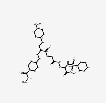 COC(=O)C(CNC(=O)CNC(=O)C(CCC1CCN(C(=O)O)CC1)CCC1CCN(C(=O)OC(C)(C)C)CC1)NS(=O)(=O)C1CCCCC1